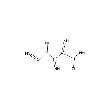 N=CC(=N)C(=N)C(=N)C(=N)Cl